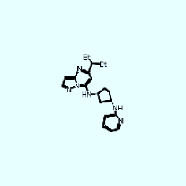 CCC(CC)c1cc(N[C@H]2CC[C@H](Nc3ccccn3)C2)n2nccc2n1